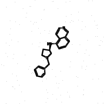 c1ccc(CN2CC[C@@H](Nc3cccc4cnccc34)C2)cc1